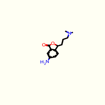 CN(C)CCCC1OC(=O)c2cc(N)ccc21